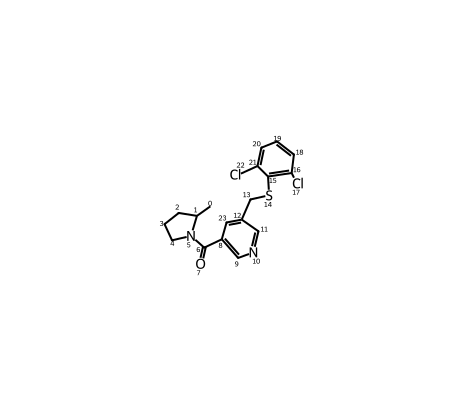 CC1CCCN1C(=O)c1cncc(CSc2c(Cl)cccc2Cl)c1